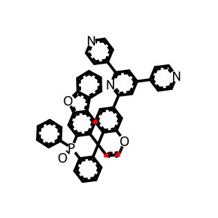 O=P1(c2ccccc2)c2ccccc2C2(c3ccccc3Oc3cc(-c4cc(-c5ccncc5)cc(-c5ccncc5)n4)ccc32)c2cc3c(cc21)oc1ccccc13